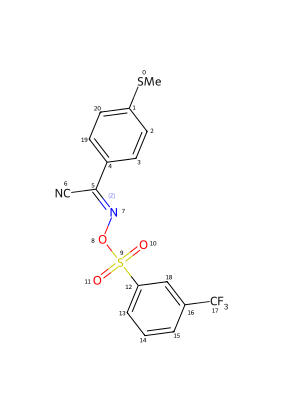 CSc1ccc(/C(C#N)=N/OS(=O)(=O)c2cccc(C(F)(F)F)c2)cc1